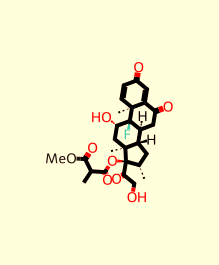 COC(=O)C(C)C(=O)O[C@]1(C(=O)CO)[C@@H](C)C[C@H]2[C@@H]3CC(=O)C4=CC(=O)C=C[C@]4(C)[C@@]3(F)[C@@H](O)C[C@@]21C